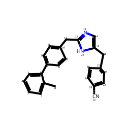 Cc1ccccc1-c1ccc(Cc2ncc(Cc3ccc(C#N)cc3)[nH]2)cc1